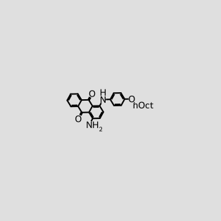 CCCCCCCCOc1ccc(Nc2ccc(N)c3c2C(=O)c2ccccc2C3=O)cc1